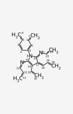 C=C/C=C\C(=C/C=C)N1C(/N=C\C=C)=C(C=C)C(=C/C=C)/C1=N\C=C